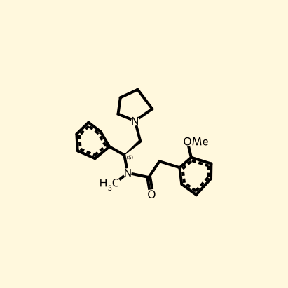 COc1ccccc1CC(=O)N(C)[C@H](CN1CCCC1)c1ccccc1